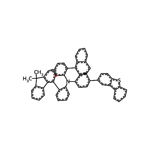 CC1(C)c2ccccc2-c2c(-c3ccccc3N(c3ccc(-c4ccc5sc6ccccc6c5c4)cc3)c3ccccc3-c3cccc4ccccc34)cccc21